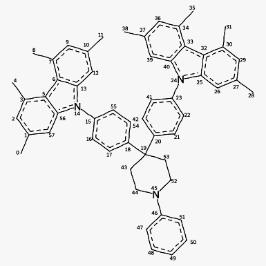 Cc1cc(C)c2c3c(C)cc(C)cc3n(-c3ccc(C4(c5ccc(-n6c7cc(C)cc(C)c7c7c(C)cc(C)cc76)cc5)CCN(c5ccccc5)CC4)cc3)c2c1